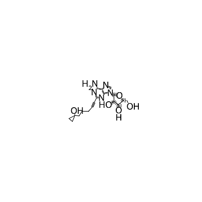 Nc1nc(C#CCCCC2(O)CC2)nc2c1ncn2[C@@H]1O[C@H](CO)[C@@H](O)[C@H]1O